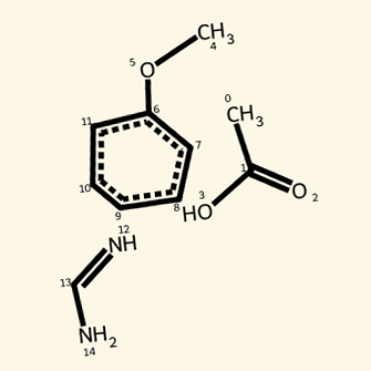 CC(=O)O.COc1ccccc1.N=CN